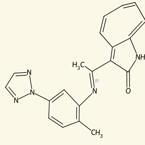 C/C(=N\c1cc(-n2nccn2)ccc1C)c1c2cccccc-2[nH]c1=O